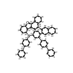 c1ccc(-c2ccc(-c3cccc(N(c4ccc(-c5ccccc5)cc4)c4cccc5oc6c7ccccc7c(-c7ccc8ccccc8c7)cc6c45)c3)cc2)cc1